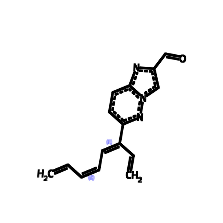 C=C/C=C\C=C(/C=C)c1ccc2nc(C=O)cn2n1